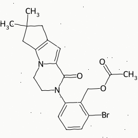 CC(=O)OCc1c(Br)cccc1N1CCn2c(cc3c2CC(C)(C)C3)C1=O